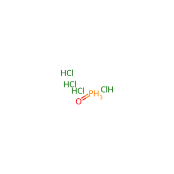 Cl.Cl.Cl.Cl.O=[PH3]